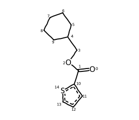 O=C(OCC1CCCCC1)c1cccs1